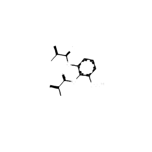 C=C(C)C(=O)Oc1cccc(S(=O)(=O)O)c1OC(=O)C(=C)C